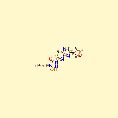 CCCCCN(S)C(=O)Nc1ccc2ncc(-c3ccoc3)nc2n1